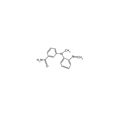 C=Nc1ccccc1N(C)c1cccc(C(N)=O)c1